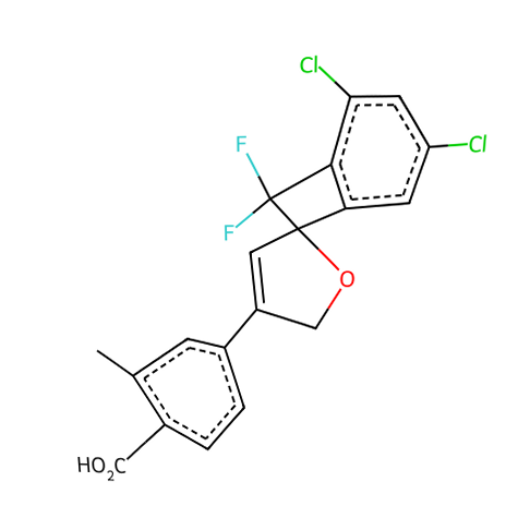 Cc1cc(C2=CC3(OC2)c2cc(Cl)cc(Cl)c2C3(F)F)ccc1C(=O)O